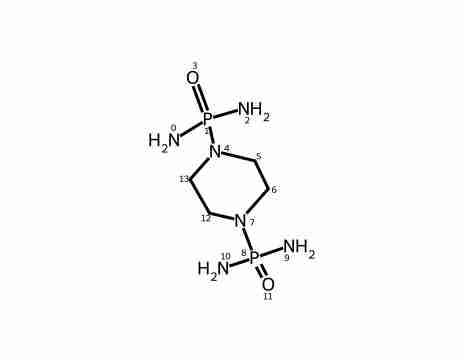 NP(N)(=O)N1CCN(P(N)(N)=O)CC1